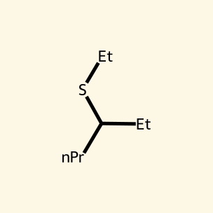 CCCC(CC)SCC